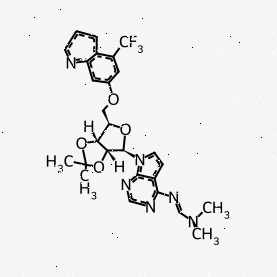 CN(C)/C=N/c1ncnc2c1ccn2[C@@H]1O[C@H](COc2cc(C(F)(F)F)c3cccnc3c2)[C@H]2OC(C)(C)O[C@H]21